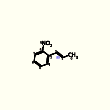 C/C=C/c1ccccc1[N+](=O)[O-]